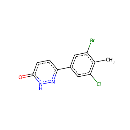 Cc1c(Cl)cc(-c2ccc(=O)[nH]n2)cc1Br